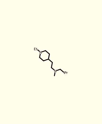 CCN1CCC(CCN(C)CC(C)C)CC1